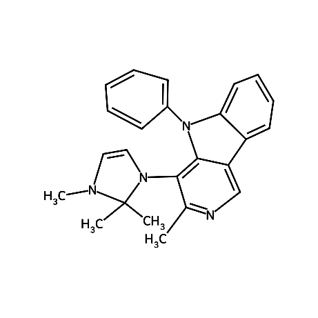 Cc1ncc2c3ccccc3n(-c3ccccc3)c2c1N1C=CN(C)C1(C)C